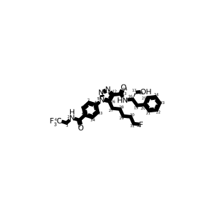 O=C(NCC(F)(F)F)c1ccc(-n2nnc(C(=O)N[C@H](CO)Cc3ccccc3)c2CCCCCF)cc1